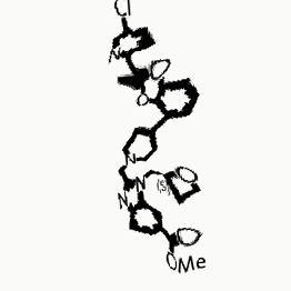 COC(=O)c1ccc2nc(CN3CCC(c4cccc5c4OC(C)(c4ccc(Cl)cn4)O5)CC3)n(C[C@@H]3CCO3)c2c1